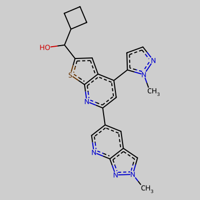 Cn1cc2cc(-c3cc(-c4ccnn4C)c4cc(C(O)C5CCC5)sc4n3)cnc2n1